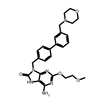 COCCOc1nc(N)c2[nH]c(=O)n(Cc3ccc(-c4cccc(CN5CCOCC5)c4)cc3)c2n1